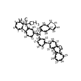 CC1(C)c2ccccc2-c2ccc(N(c3cccc(-c4ccc5oc6ccccc6c5c4)c3)c3ccc4c(c3)C=CCC4)cc21